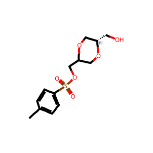 Cc1ccc(S(=O)(=O)OCC2CO[C@@H](CO)CO2)cc1